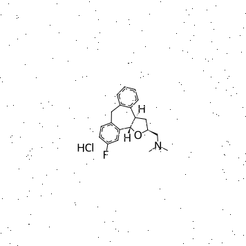 CN(C)C[C@@H]1C[C@@H]2c3ccccc3Cc3ccc(F)cc3[C@H]2O1.Cl